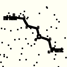 CCCCCCCCCOCC(C)CCC